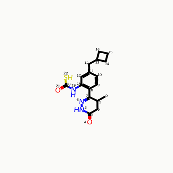 CC1CC(=O)NN=C1c1ccc(CC2CCC2)cc1NC(=O)S